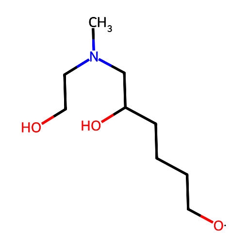 CN(CCO)CC(O)CCCC[O]